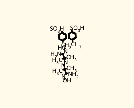 CC(C)(N=NC(C)(C)C(N)=NO)C(N)=NO.Cc1ccc(S(=O)(=O)O)cc1.Cc1ccc(S(=O)(=O)O)cc1